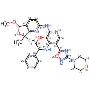 COC1OC(C)(C)c2nc(Nc3cc(N[C@H](CO)c4ccccc4)c(-c4nc(N5CCOCC5)no4)cn3)ccc21